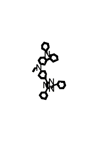 C=CN(c1ccc(-c2nc(-c3ccccc3)nc(-c3ccccc3)n2)cc1)c1ccc2c(c1)c1ccccc1n2-c1ccccc1